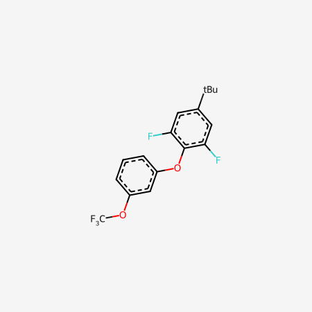 CC(C)(C)c1cc(F)c(Oc2cccc(OC(F)(F)F)c2)c(F)c1